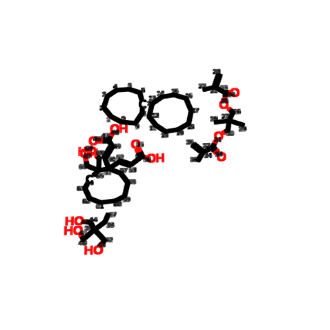 C1CCCCCCCCC1.C1CCCCCCCCC1.C=C(C)C(=O)OCC(C)(C)COC(=O)C(=C)C.CCC(CO)(CO)CO.O=C(O)C=CC1(C=CC(=O)O)CCCCCCCCC1(CO)CO